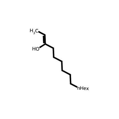 CC=C(O)CCCCCCCCCCCC